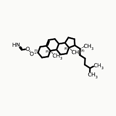 CC(C)CCC[C@@H](C)C1CCC2C3CC=C4C[C@@H](OOC=N)CC[C@]4(C)C3CC[C@@]21C